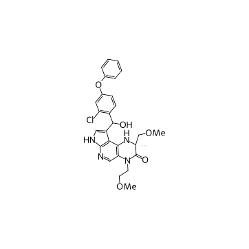 COCCN1C(=O)[C@](C)(COC)Nc2c1cnc1[nH]cc(C(O)c3ccc(Oc4ccccc4)cc3Cl)c21